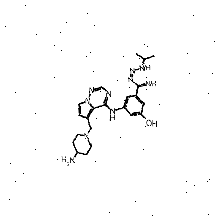 CC(C)N/N=N\C(=N)c1cc(O)cc(Nc2ncnn3ccc(CN4CCC(N)CC4)c23)c1